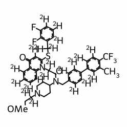 [2H]c1c([2H])c(F)c(F)c(C([2H])([2H])Sc2c([2H])c(=O)c3c([2H])c([2H])c([2H])c([2H])c3n2C([2H])([2H])C(=O)N(Cc2c([2H])c([2H])c(-c3c([2H])c([2H])c(C(F)(F)F)c(C)c3[2H])c([2H])c2[2H])C2CCN(C([2H])([2H])COC)CC2)c1[2H]